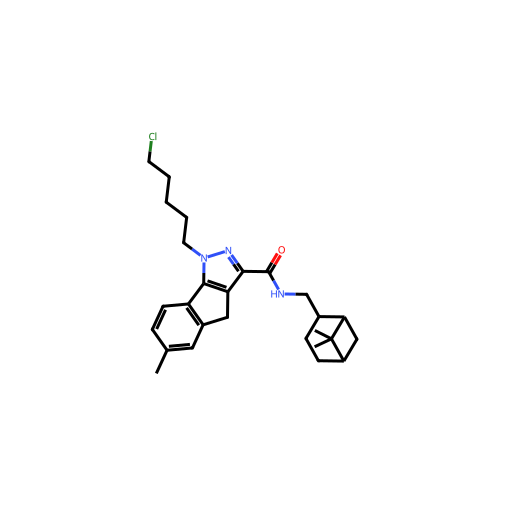 Cc1ccc2c(c1)Cc1c(C(=O)NCC3CCC4CC3C4(C)C)nn(CCCCCCl)c1-2